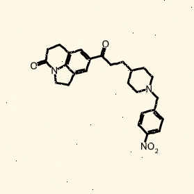 O=C(CCC1CCN(Cc2ccc([N+](=O)[O-])cc2)CC1)c1cc2c3c(c1)CCN3C(=O)CC2